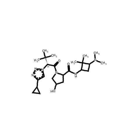 CN(C)C1CC(NC(=O)C2CC(O)CN2C(=O)[C@H](n2cc(C3CC3)nn2)C(C)(C)C)C1(C)C